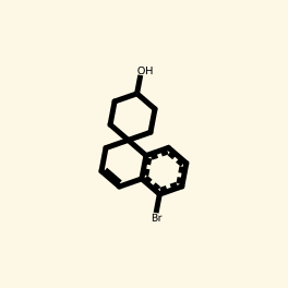 OC1CCC2(CC=Cc3c(Br)cccc32)CC1